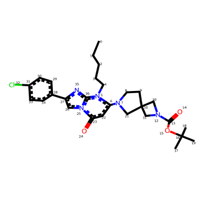 CCCCCn1c(N2CCC3(CN(C(=O)OC(C)(C)C)C3)C2)cc(=O)n2cc(-c3ccc(Cl)cc3)nc12